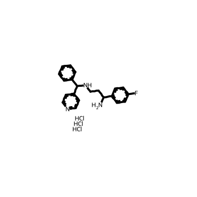 Cl.Cl.Cl.NC(CCNC(c1ccccc1)c1ccncc1)c1ccc(F)cc1